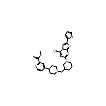 COC(=O)c1cc(N2CCN(CC3CCCN(c4nc(N)n5nc(-c6ccco6)nc5n4)C3)CC2)ccn1